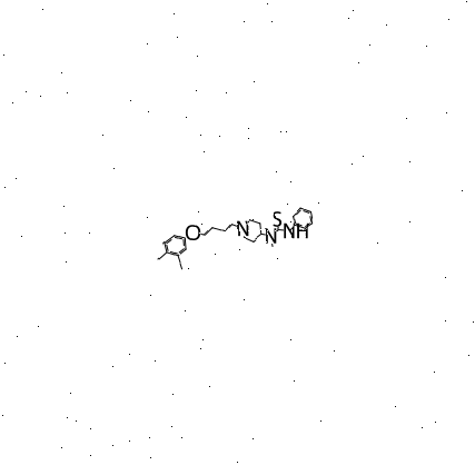 Cc1ccc(OCCCCN2CCC(N(C)C(=S)Nc3ccccc3)CC2)cc1C